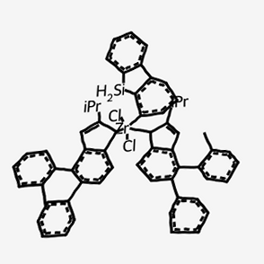 Cc1ccccc1-c1c(-c2ccccc2)ccc2c1C=C(C(C)C)[CH]2[Zr]([Cl])([Cl])([c]1cccc2c1[SiH2]c1ccccc1-2)[CH]1C(C(C)C)=Cc2c1ccc(-c1ccccc1)c2-c1ccccc1C